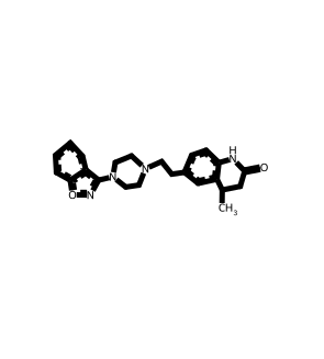 CC1CC(=O)Nc2ccc(CCN3CCN(c4noc5ccccc45)CC3)cc21